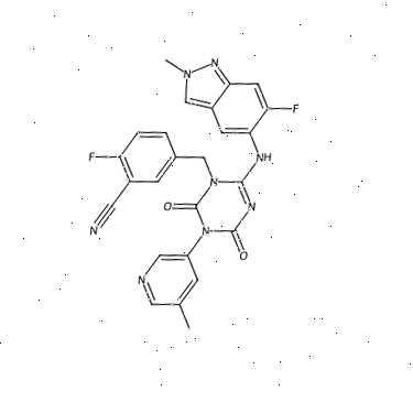 Cc1cncc(-n2c(=O)nc(Nc3cc4cn(C)nc4cc3F)n(Cc3ccc(F)c(C#N)c3)c2=O)c1